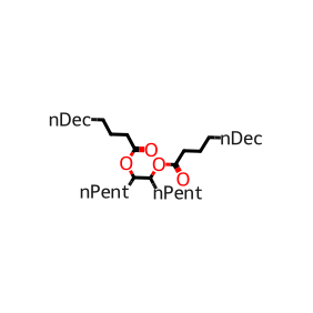 CCCCCCCCCCCCCC(=O)OC(CCCCC)C(CCCCC)OC(=O)CCCCCCCCCCCCC